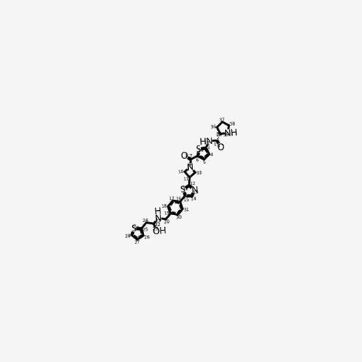 O=C(Nc1ccc(C(=O)N2CC(c3ncc(-c4ccc(CNC(O)Cc5cccs5)cc4)s3)C2)s1)[C@@H]1CCCN1